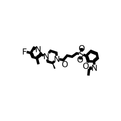 Cc1nc2cccc(S(=O)(=O)CCCC(=O)N3CCN(c4ncc(F)cc4C)C[C@@H]3C)c2o1